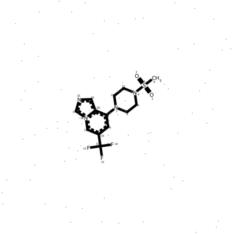 CS(=O)(=O)N1CCN(c2cc(C(F)(F)F)cn3cncc23)CC1